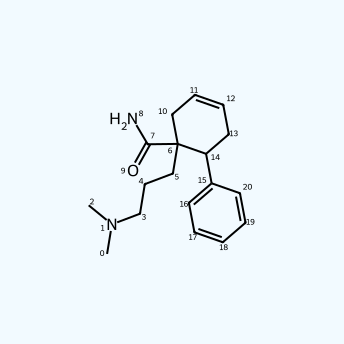 CN(C)CCCC1(C(N)=O)CC=CCC1c1ccccc1